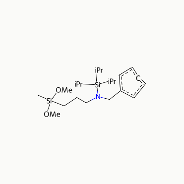 CO[Si](C)(CCCN(Cc1ccccc1)[Si](C(C)C)(C(C)C)C(C)C)OC